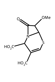 COC1C(=O)N2C(C(=O)O)C(C(=O)O)=CSC12